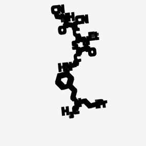 CCn1c(=C=C(C#N)C(=O)NCC#N)sc(=C=CNc2cccc(CCN(C)CCC(C)C)c2)c1=O